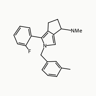 CNC1CCc2c1cn(Cc1cccc(C)c1)c2-c1ccccc1F